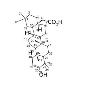 CC1(C)CC[C@]2(CC(=O)O)CC[C@]3(C)[C@H](CC[C@@H]4[C@@]5(C)CC=C(O)C(C)(C)C5CC[C@]43C)[C@H]2C1